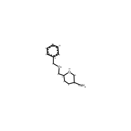 NC1CCC(COCc2ccccc2)OC1